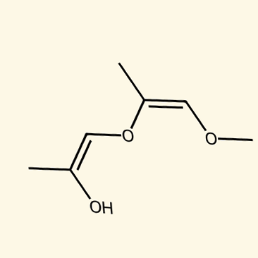 COC=C(C)OC=C(C)O